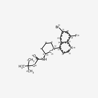 CC(C)(C)OC(=O)N[C@H]1CCCN(c2ccnc3c(F)cc(Br)cc23)C1